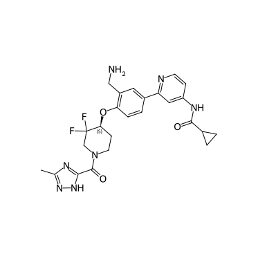 Cc1n[nH]c(C(=O)N2CC[C@H](Oc3ccc(-c4cc(NC(=O)C5CC5)ccn4)cc3CN)C(F)(F)C2)n1